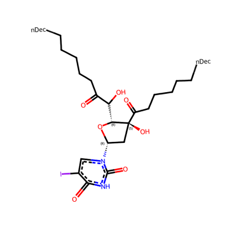 CCCCCCCCCCCCCCCC(=O)C(O)[C@H]1O[C@@H](n2cc(I)c(=O)[nH]c2=O)C[C@@]1(O)C(=O)CCCCCCCCCCCCCCC